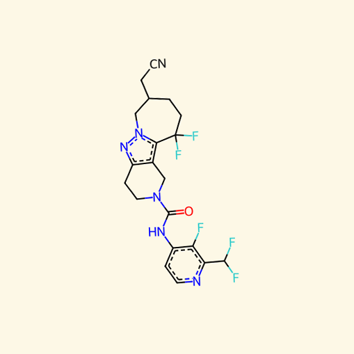 N#CCC1CCC(F)(F)c2c3c(nn2C1)CCN(C(=O)Nc1ccnc(C(F)F)c1F)C3